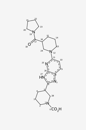 O=C(O)N1CCCC(c2nc3ccc(N4CCCC(C(=O)N5CCCC5)C4)nc3[nH]2)C1